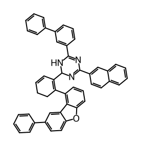 C1=CC(C2N=C(c3ccc4ccccc4c3)N=C(c3cccc(-c4ccccc4)c3)N2)=C(c2cccc3oc4ccc(-c5ccccc5)cc4c23)CC1